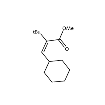 COC(=O)C(=CC1CCCCC1)C(C)(C)C